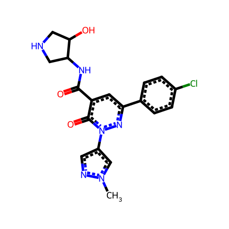 Cn1cc(-n2nc(-c3ccc(Cl)cc3)cc(C(=O)NC3CNCC3O)c2=O)cn1